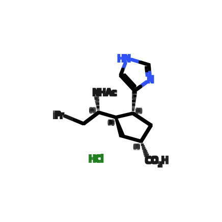 CC(=O)N[C@@H](CC(C)C)[C@@H]1C[C@@H](C(=O)O)C[C@H]1c1c[nH]cn1.Cl